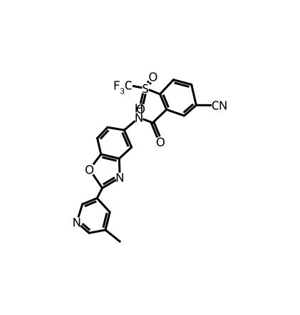 Cc1cncc(-c2nc3cc(NC(=O)c4cc(C#N)ccc4S(=O)(=O)C(F)(F)F)ccc3o2)c1